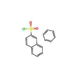 O=S(=O)(Cl)c1ccc2ccccc2c1.[c]1ccccc1